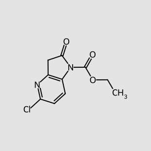 CCOC(=O)N1C(=O)Cc2nc(Cl)ccc21